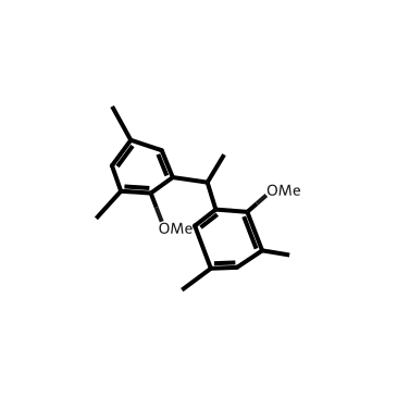 COc1c(C)cc(C)cc1C(C)c1cc(C)cc(C)c1OC